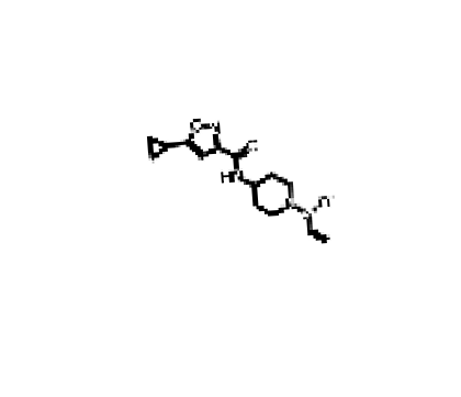 C=C[S+]([O-])N1CCC(NC(=O)c2cc(C3CC3)on2)CC1